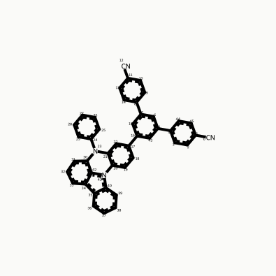 N#Cc1ccc(-c2cc(-c3ccc(C#N)cc3)cc(-c3ccc4c(c3)N(c3ccccc3)c3cccc5c6ccccc6n-4c35)c2)cc1